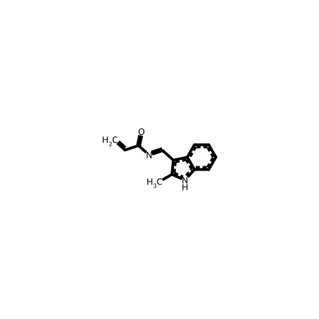 C=CC(=O)N=Cc1c(C)[nH]c2ccccc12